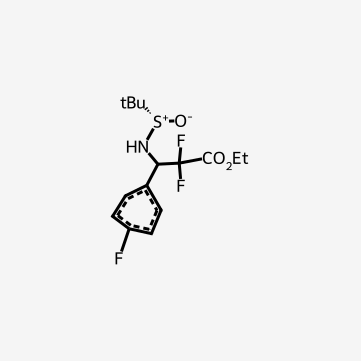 CCOC(=O)C(F)(F)C(N[S@@+]([O-])C(C)(C)C)c1ccc(F)cc1